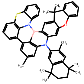 Cc1cc2c3c(c1)N(c1cc4c(cc1C)C(C)(C)CCC4(C)C)c1cc4c(cc1B3N1c3ccccc3Sc3cccc-2c31)C(C)(C)c1ccccc1O4